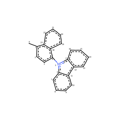 Cc1ccc(-n2c3ccccc3c3ccccc32)c2ccccc12